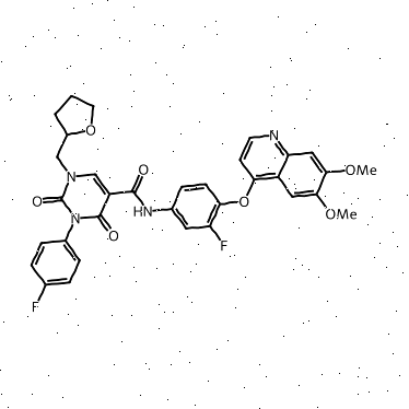 COc1cc2nccc(Oc3ccc(NC(=O)c4cn(CC5CCCO5)c(=O)n(-c5ccc(F)cc5)c4=O)cc3F)c2cc1OC